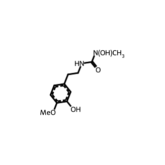 COc1ccc(CCNC(=O)N(C)O)cc1O